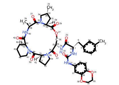 Cc1cccc(C[C@H](NC(=O)Nc2ccc3c(c2)OCCO3)C(=O)N[C@H]2COC(=O)[C@@H]3C[C@@H](C)CN3C(=O)[C@H](C)NC(=O)[C@@H]3CCCCN3C(=O)[C@@H]3CCCN3C2=O)c1